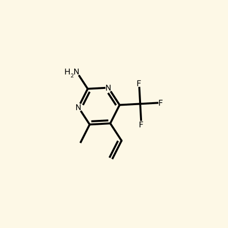 C=Cc1c(C)nc(N)nc1C(F)(F)F